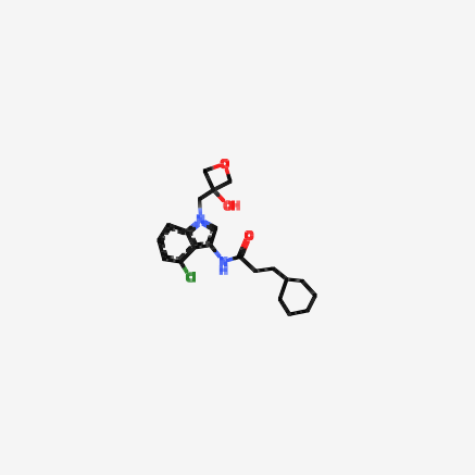 O=C(CCC1CCCCC1)Nc1cn(CC2(O)COC2)c2cccc(Cl)c12